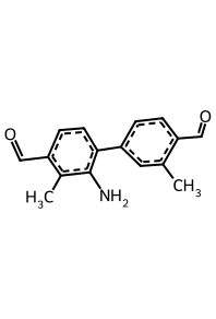 Cc1cc(-c2ccc(C=O)c(C)c2N)ccc1C=O